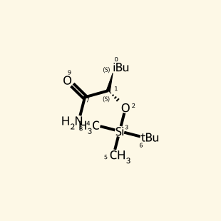 CC[C@H](C)[C@H](O[Si](C)(C)C(C)(C)C)C(N)=O